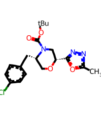 Cc1nnc([C@H]2CN(C(=O)OC(C)(C)C)[C@@H](Cc3ccc(Cl)cc3)CO2)o1